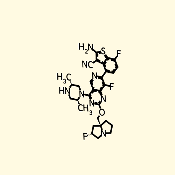 C[C@@H]1CN(c2nc(OC[C@@]34CCCN3C[C@H](F)C4)nc3c(F)c(-c4ccc(F)c5sc(N)c(C#N)c45)ncc23)[C@@H](C)CN1